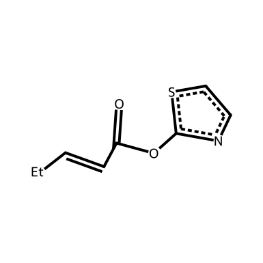 CCC=CC(=O)Oc1nccs1